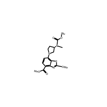 COC(=O)c1ccc(N2CC[C@@H](N(C)C(=O)OC(C)(C)C)C2)c2sc(OC)nc12